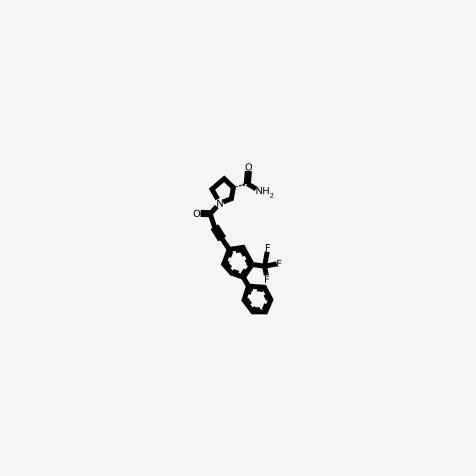 NC(=O)[C@H]1CCN(C(=O)C#Cc2ccc(-c3ccccc3)c(C(F)(F)F)c2)C1